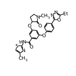 CCc1nnc(-c2ccc(Oc3cc(OC4CCN(C)C4=O)cc(C(=O)Nc4nc(C)cs4)c3)cc2)o1